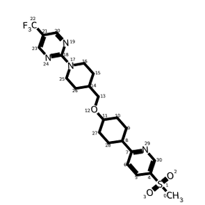 CS(=O)(=O)c1ccc(C2CCC(OCC3CCN(c4ncc(C(F)(F)F)cn4)CC3)CC2)nc1